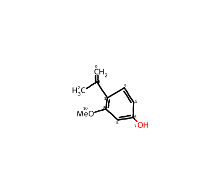 C=C(C)c1ccc(O)cc1OC